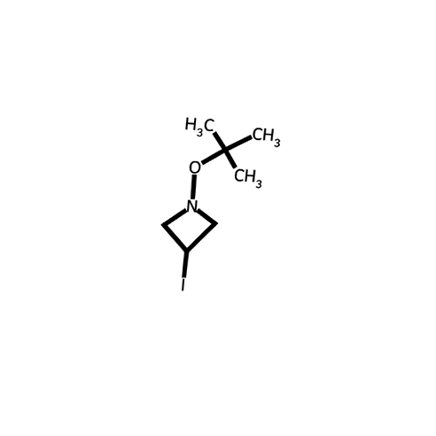 CC(C)(C)ON1CC(I)C1